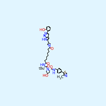 Cc1ncsc1-c1ccc(CNC(=O)[C@@H]2C[C@@H](O)CN2C(=O)[C@@H](NC(=O)CCCCCCCC(=O)N2CC(c3cc4cc(-c5ccccc5O)nnc4[nH]3)C2)C(C)(C)C)cc1